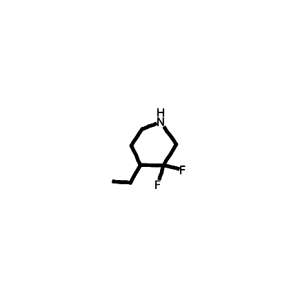 CCC1CCNCC1(F)F